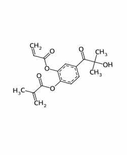 C=CC(=O)Oc1cc(C(=O)C(C)(C)O)ccc1OC(=O)C(=C)C